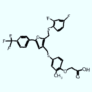 Cc1cc(SCc2cc(-c3ccc(C(F)(F)F)cc3)oc2CSc2ccc(F)cc2F)ccc1OCC(=O)O